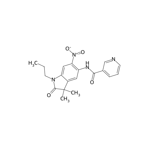 CCCN1C(=O)C(C)(C)c2cc(NC(=O)c3cccnc3)c([N+](=O)[O-])cc21